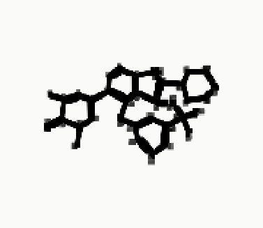 Cc1cc(-c2ccc3[nH]c(C4CCOCC4)nc3c2Oc2cncc(C(F)(F)P)c2)cn(C)c1=O